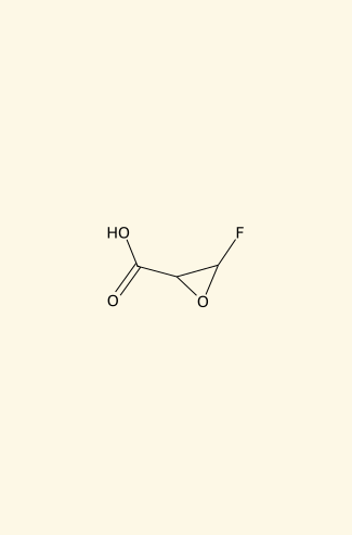 O=C(O)C1OC1F